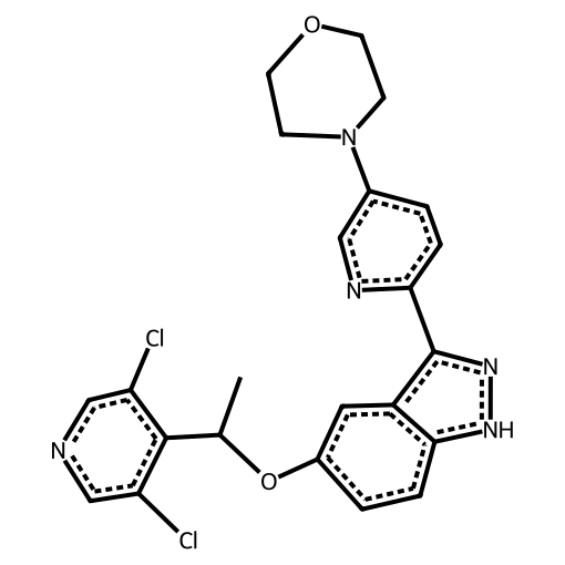 CC(Oc1ccc2[nH]nc(-c3ccc(N4CCOCC4)cn3)c2c1)c1c(Cl)cncc1Cl